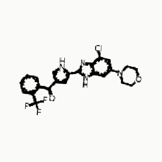 O=C(c1c[nH]c(-c2nc3c(Cl)cc(N4CCOCC4)cc3[nH]2)c1)c1ccccc1C(F)(F)F